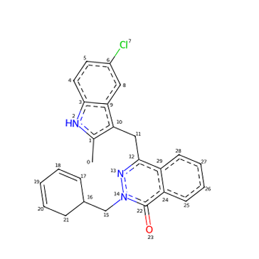 Cc1[nH]c2ccc(Cl)cc2c1Cc1nn(CC2C=CC=CC2)c(=O)c2ccccc12